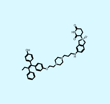 CC/C(=C(\c1ccc(O)cc1)c1ccc(OCCN2CCN(CCCNc3ccc4c(c3)C[N+]([O-])(C3CCC(=O)NC3=O)C4)CC2)cc1)c1ccccc1